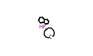 c1ccc2c(PC3CCCCCCCCCC3)cccc2c1